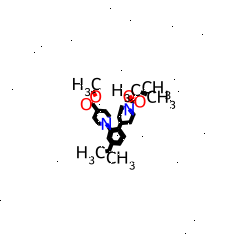 CCOC(=O)C1CCN(c2cc(C(C)C)ccc2C2CCN(C(=O)OC(C)(C)C)CC2)CC1